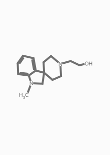 CN1CC2(CCN(CCO)CC2)c2ccccc21